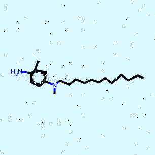 CCCCCCCCCCCCN(C)c1ccc(N)c(C)c1